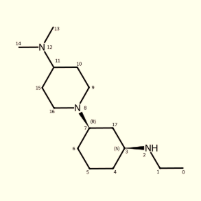 CCN[C@H]1CCC[C@@H](N2CCC(N(C)C)CC2)C1